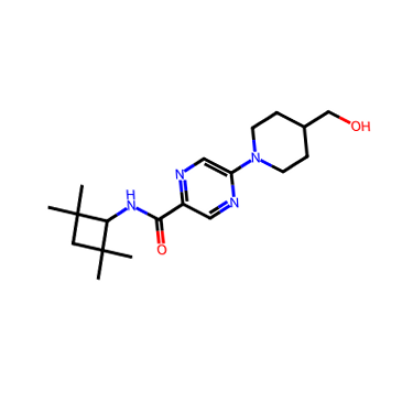 CC1(C)CC(C)(C)C1NC(=O)c1cnc(N2CCC(CO)CC2)cn1